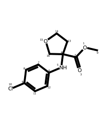 COC(=O)C1(Nc2ccc(Cl)cc2)CCOC1